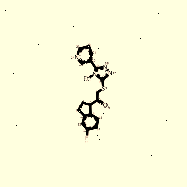 CCn1c(SCC(=O)C2CCc3cc(F)ccc32)nnc1-c1cccnc1